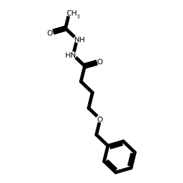 CC(=O)NNC(=O)CCCOCc1ccccc1